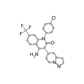 Nc1c(-c2ccn3nccc3c2)c(=O)n(-c2ccc(Cl)cc2)c2cc(C(F)(F)F)ccc12